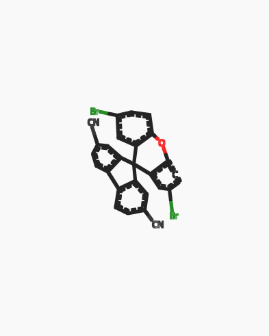 N#Cc1ccc2c(c1)C1(c3cc(Br)ccc3Oc3ccc(Br)cc31)c1cc(C#N)ccc1-2